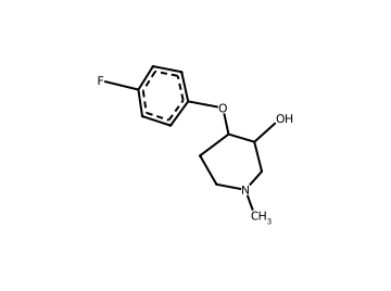 CN1CCC(Oc2ccc(F)cc2)C(O)C1